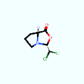 O=C1O[C@H](C(Cl)Cl)N2CCC[C@@H]12